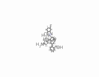 N/C(=N\c1cc(F)ccc1Cl)c1cnn2cc(-c3ccncc3CO)cc2c1N[C@@H]1CC[C@H](N)C1